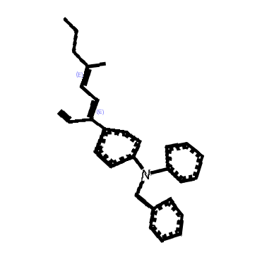 C=C/C(=C\C=C(/C)CCC)c1ccc(N(Cc2ccccc2)c2ccccc2)cc1